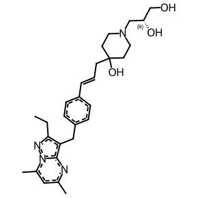 CCc1nn2c(C)cc(C)nc2c1Cc1ccc(C=CCC2(O)CCN(C[C@@H](O)CO)CC2)cc1